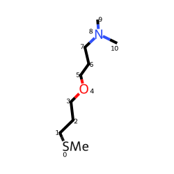 CSCCCOCCCN(C)C